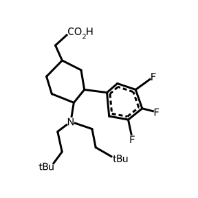 CC(C)(C)CCN(CCC(C)(C)C)C1CCC(CC(=O)O)CC1c1cc(F)c(F)c(F)c1